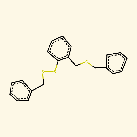 c1ccc(CSCc2ccccc2SSCc2ccccc2)cc1